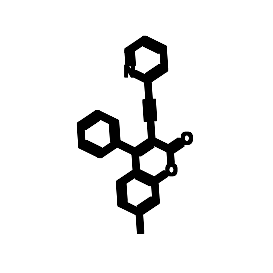 Cc1ccc2c(-c3ccccc3)c(C#Cc3ccccn3)c(=O)oc2c1